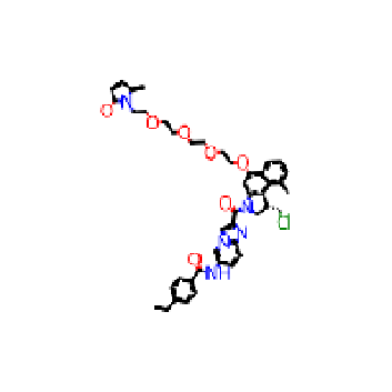 C=C1C=CC(=O)N1CCOCCOCCOCCOc1cc2c(c3c(C)cccc13)[C@H](CCl)CN2C(=O)c1cn2cc(NC(=O)c3ccc(CC)cc3)ccc2n1